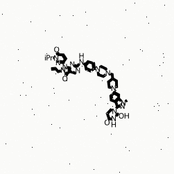 C=CCn1c(=O)c2cnc(Nc3ccc(N4CCN(CC5CCN(c6ccc7c(N8CCC(=O)NC8O)nn(C)c7c6)CC5)CC4)cc3)nc2n1-c1ccc(=O)n(C(C)C)n1